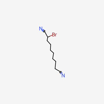 N#CCCCCCCCC(Br)C#N